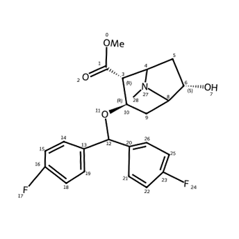 COC(=O)[C@@H]1C2C[C@H](O)C(C[C@H]1OC(c1ccc(F)cc1)c1ccc(F)cc1)N2C